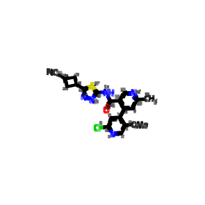 COc1cnc(Cl)cc1-c1cc(C)ncc1C(=O)Nc1nnc(C2CC(C#N)C2)s1